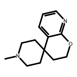 CN1CCC2(CCOc3ncccc32)CC1